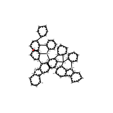 c1ccc(-c2ccccc2-c2ccccc2N(c2ccccc2-c2cccc3c2oc2ccccc23)c2cccc3c2-c2ccccc2C32c3ccccc3-n3c4ccccc4c4cccc2c43)cc1